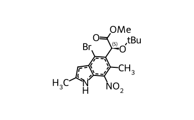 COC(=O)[C@@H](OC(C)(C)C)c1c(C)c([N+](=O)[O-])c2[nH]c(C)cc2c1Br